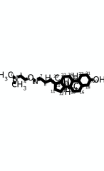 CN(C)CCON=CCCC1CC[C@H]2[C@@H]3CCC4CC(O)CC[C@]4(C)[C@@H]3CC[C@]12C